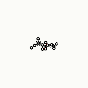 C1=CC(n2c3ccccc3c3c4sc5c(ccc6c5c5ccccc5n6-c5c(-c6ccccc6)cc(-c6nc(-c7ccccc7)nc(-c7ccc(-c8ccccc8)cc7)n6)cc5-c5ccccc5)c4ccc32)=CCC1